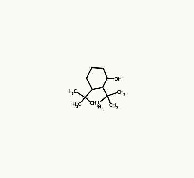 CC(C)(C)C1CCCC(O)C1C(C)(C)C